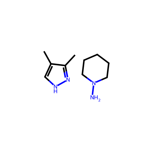 Cc1c[nH]nc1C.NN1CCCCC1